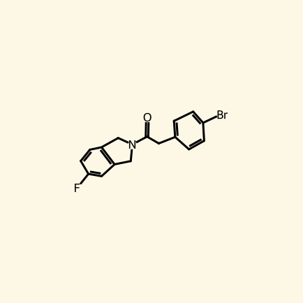 O=C(Cc1ccc(Br)cc1)N1Cc2ccc(F)cc2C1